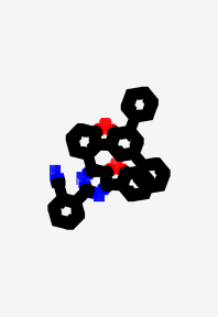 N#Cc1ccccc1-c1nc(-c2cccc3oc4c(-c5ccccc5)cc(-c5ccccc5)cc4c23)c2oc3ccccc3c2n1